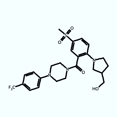 CS(=O)(=O)c1ccc(N2CCC(CO)C2)c(C(=O)N2CCN(c3ccc(C(F)(F)F)cc3)CC2)c1